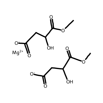 COC(=O)C(O)CC(=O)[O-].COC(=O)C(O)CC(=O)[O-].[Mg+2]